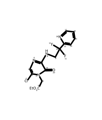 CCOC(=O)Cn1c(Cl)cnc(NCC(F)(F)c2ccccn2)c1=O